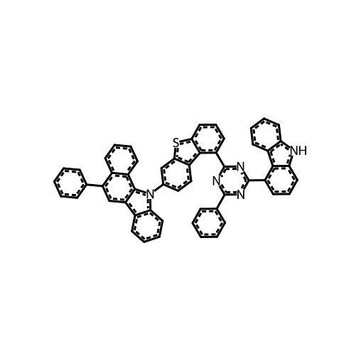 c1ccc(-c2nc(-c3cccc4[nH]c5ccccc5c34)nc(-c3cccc4sc5cc(-n6c7ccccc7c7cc(-c8ccccc8)c8ccccc8c76)ccc5c34)n2)cc1